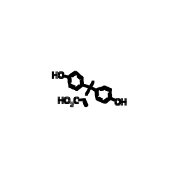 C=CC(=O)O.CC(C)(c1ccc(O)cc1)c1ccc(O)cc1